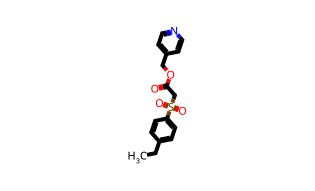 CCc1ccc(S(=O)(=O)CC(=O)OCc2ccncc2)cc1